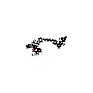 N#Cc1c(N)sc2c(F)ccc(-c3c(Cl)cc4c(N5CC6CCC(C5)N6)nc(=O)n5c4c3SC[C@@H]5CN3CCN(CCCCCCCN4CCC(c5cc(F)cc6c5CN(C5CCC(=O)NC5=O)C6=O)CC4)CC3)c12